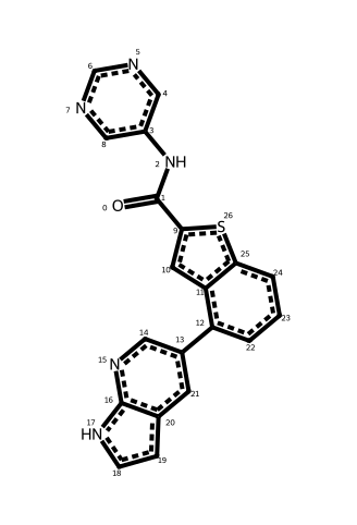 O=C(Nc1cncnc1)c1cc2c(-c3cnc4[nH]ccc4c3)cccc2s1